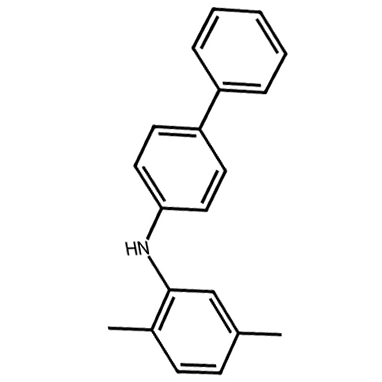 Cc1ccc(C)c(Nc2ccc(-c3ccccc3)cc2)c1